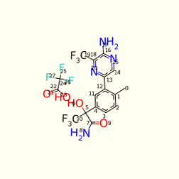 Cc1ccc(C(O)(C(N)=O)C(F)(F)F)cc1-c1cnc(N)c(C(F)(F)F)n1.O=C(O)C(F)(F)F